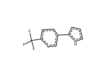 FC(F)(F)c1ccc(-c2ccc[nH]2)cn1